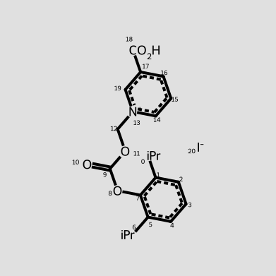 CC(C)c1cccc(C(C)C)c1OC(=O)OC[n+]1cccc(C(=O)O)c1.[I-]